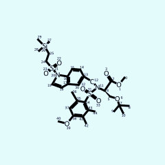 COC(=O)[C@@H](COC(C)(C)C)N(Cc1ccc2c(ccn2S(=O)(=O)CC[Si](C)(C)C)c1)S(=O)(=O)c1c(C)cc(OC)c(C)c1C